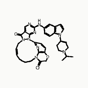 CC(C)N1CCC(n2ccc3cc(Nc4ncc5c(=O)n6n(c5n4)-c4ccc5c(n4)N(CCC/C=C\C6)C(=O)CO5)ccc32)CC1